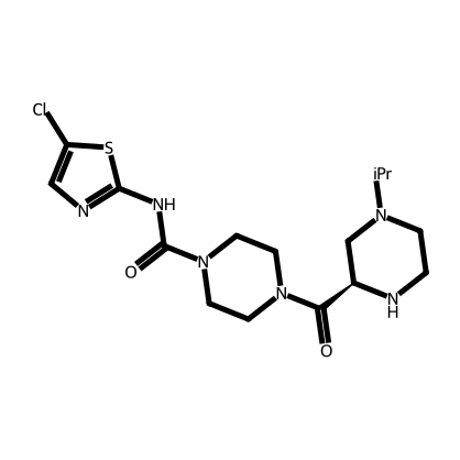 CC(C)N1CCN[C@@H](C(=O)N2CCN(C(=O)Nc3ncc(Cl)s3)CC2)C1